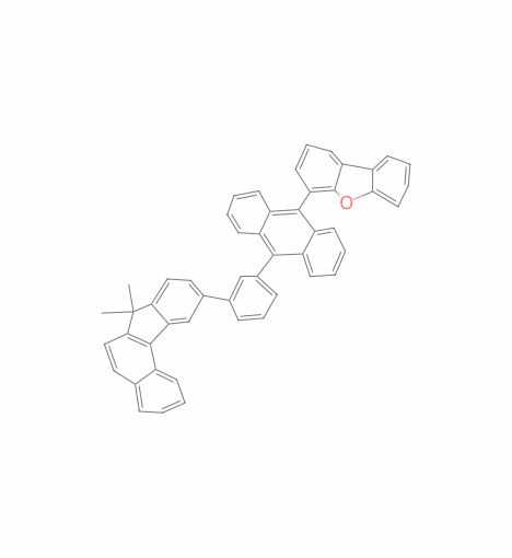 CC1(C)c2ccc(-c3cccc(-c4c5ccccc5c(-c5cccc6c5oc5ccccc56)c5ccccc45)c3)cc2-c2c1ccc1ccccc21